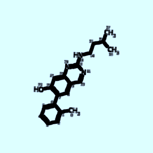 Cc1ccccc1-c1cc2cnc(NCCC(C)C)nc2cc1O